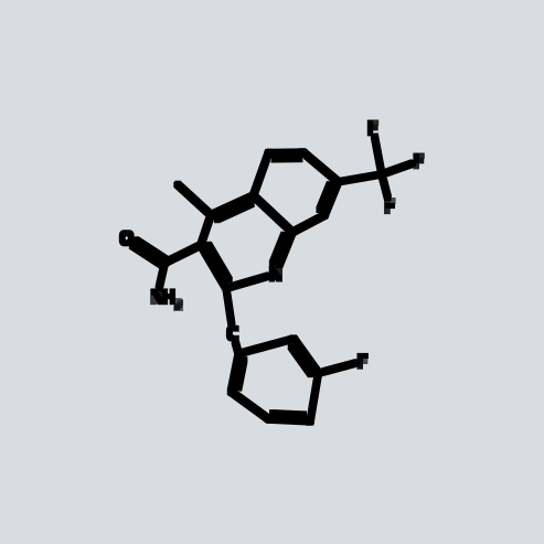 Cc1c(C(N)=O)c(Cc2cccc(F)c2)nc2cc(C(F)(F)F)ccc12